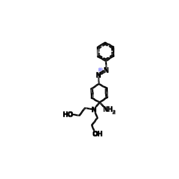 NC1(N(CCO)CCO)C=CC(/N=N/c2ccccc2)C=C1